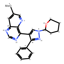 COc1cnc2c(-c3cn(C4CCCCO4)nc3-c3ccccc3)ncnc2c1